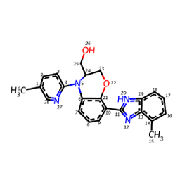 Cc1ccc(N2c3cccc(-c4nc5c(C)cccc5[nH]4)c3OCC2CO)nc1